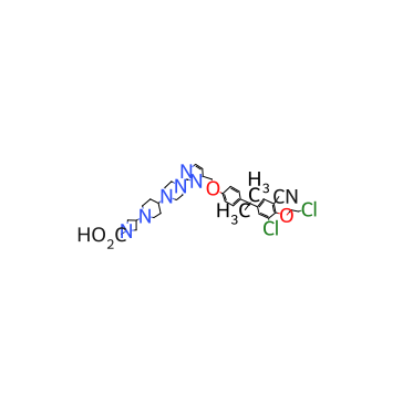 CC(C)(c1ccc(OCc2ccnc(N3CCN(C4CCN(C5CN(C(=O)O)C5)CC4)CC3)n2)cc1)c1cc(Cl)c(OCCCl)c(C#N)c1